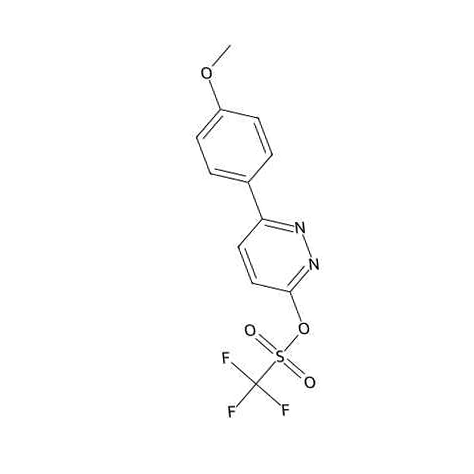 COc1ccc(-c2ccc(OS(=O)(=O)C(F)(F)F)nn2)cc1